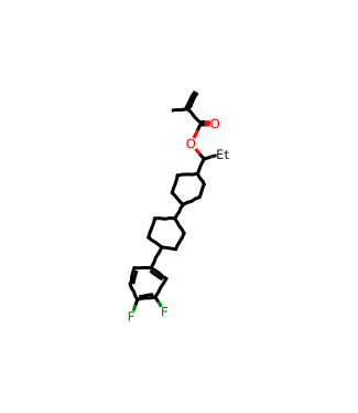 C=C(C)C(=O)OC(CC)C1CCC(C2CCC(c3ccc(F)c(F)c3)CC2)CC1